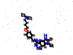 CCN(CC)CCCCOc1ccc(CNc2ncnc3cc4c(cc23)[nH]c(=S)n4CC)cc1